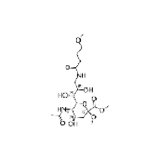 COCCCC(=O)NC[C@@H](O)[C@@H](O)C1O[C@](OC)(C(=O)OC)C[C@@H](O)[C@H]1NC(C)=O